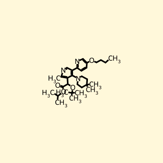 CCCCOc1ccc(-c2cnc(C)c(C(OC(C)(C)C)C(=O)OC(C)C)c2N2CCC(C)(C)CC2)nc1